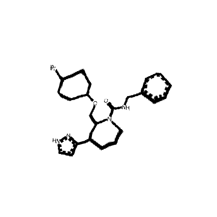 CC(C)C1CCC(OCC2C(c3cc[nH]n3)CCCN2C(=O)NCc2ccccc2)CC1